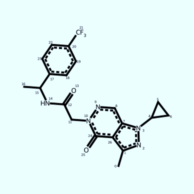 Cc1nn(C2CC2)c2cnn(CC(=O)NC(C)c3ccc(C(F)(F)F)cc3)c(=O)c12